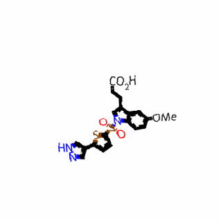 COc1ccc2c(c1)c(CCC(=O)O)cn2S(=O)(=O)c1ccc(-c2cn[nH]c2)s1